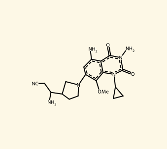 COc1c(N2CCC(C(N)CC#N)C2)cc(N)c2c(=O)n(N)c(=O)n(C3CC3)c12